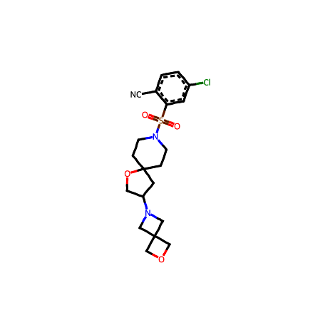 N#Cc1ccc(Cl)cc1S(=O)(=O)N1CCC2(CC1)CC(N1CC3(COC3)C1)CO2